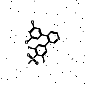 CS(=O)(=O)c1c(F)cc(-c2cnccc2-c2cc(Cl)cc(Cl)c2)cc1F